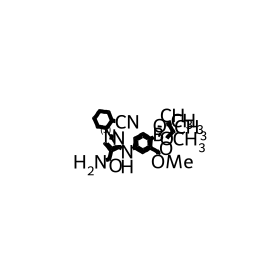 COC(=O)c1cc(Nc2nn([C@H]3CCCCC3C#N)cc2C(N)=O)ccc1B1OC(C)(C)C(C)(C)O1